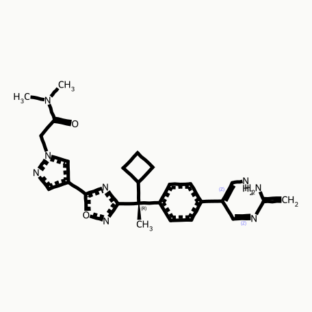 C=C(N)/N=C\C(=C/N)c1ccc([C@](C)(c2noc(-c3cnn(CC(=O)N(C)C)c3)n2)C2CCC2)cc1